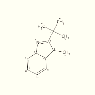 CC1C(C(C)(C)C)=NC2C=CC=CC21